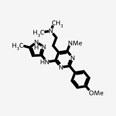 CNc1nc(-c2ccc(OC)cc2)nc(Nc2cc(C)[nH]n2)c1CCN(C)C